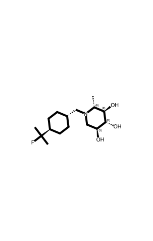 C[C@@H]1[C@@H](O)[C@H](O)[C@@H](O)CN1C[C@H]1CC[C@H](C(C)(C)F)CC1